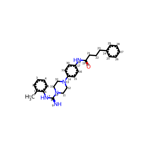 Cc1ccccc1NC(=N)N1CCN(c2ccc(NC(=O)CCCc3ccccc3)cc2)CC1